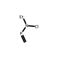 C=PN(Cl)CC